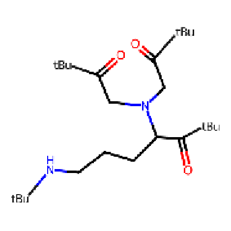 CC(C)(C)NCCCC(C(=O)C(C)(C)C)N(CC(=O)C(C)(C)C)CC(=O)C(C)(C)C